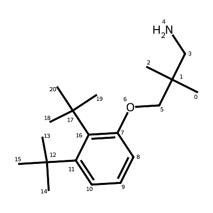 CC(C)(CN)COc1cccc(C(C)(C)C)c1C(C)(C)C